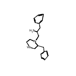 NC(Cc1ccccc1)CN1CCNCC1Cc1ccccc1